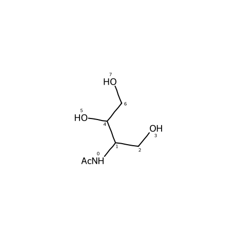 CC(=O)NC(CO)C(O)CO